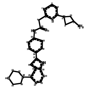 NC1CN(c2ccnc(CC(=O)Nc3ccc(-c4cc5c(N6CCOCC6)ncnc5[nH]4)cc3)n2)C1